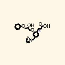 O=C(O)/C=C/c1ccc(Cn2cccn2)cc1OCC(O)COc1ccccc1